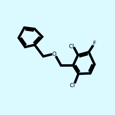 Fc1ccc(Cl)c(COCc2ccccc2)c1Cl